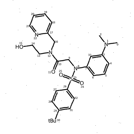 CN(C)c1cccc(N(CC(=O)N(CCO)Cc2ccccn2)S(=O)(=O)c2ccc(C(C)(C)C)cc2)c1